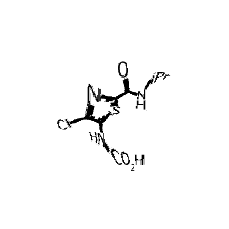 CC(C)NC(=O)c1nc(Cl)c(NC(=O)O)s1